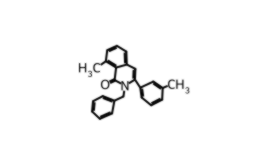 Cc1cccc(-c2cc3cccc(C)c3c(=O)n2Cc2ccccc2)c1